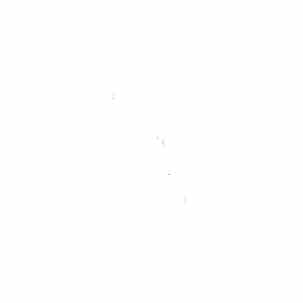 Cc1ccc(NC2=C(C(=O)O)C(=C=O)CS2)cc1C